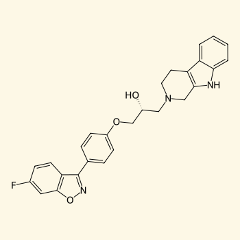 O[C@@H](COc1ccc(-c2noc3cc(F)ccc23)cc1)CN1CCc2c([nH]c3ccccc23)C1